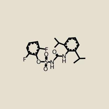 CC(C)c1cccc(C(C)C)c1NC(=O)NS(=O)(=O)Oc1c(F)cccc1F